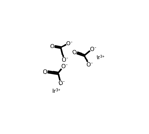 O=C([O-])[O-].O=C([O-])[O-].O=C([O-])[O-].[Ir+3].[Ir+3]